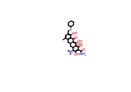 Cc1cc(CSC2CCCCC2)c(O)c2c1CC1CC3[C@H](N(C)C)C(O)=C(C(N)=O)C(=O)C3(O)C(O)=C1C2=O